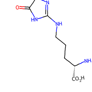 N[C@@H](CCCNC1=NCC(=O)N1)C(=O)O